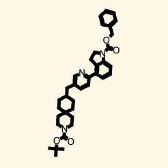 CC(C)(C)OC(=O)N1CCC2(CCC(Cc3ccc(-c4cccc5c4CCN5C(=O)OCc4ccccc4)nc3)CC2)CC1